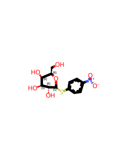 O=[N+]([O-])c1ccc(S[C@@H]2O[C@H](CO)[C@H](O)[C@H](O)[C@H]2O)cc1